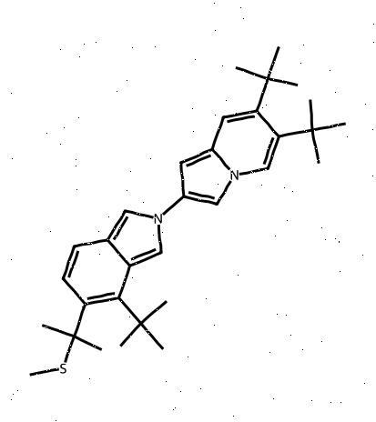 CSC(C)(C)c1ccc2cn(-c3cc4cc(C(C)(C)C)c(C(C)(C)C)cn4c3)cc2c1C(C)(C)C